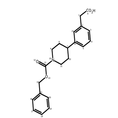 O=C(O)Cc1cccc(C2CCN(C(=O)OCc3ccccc3)CC2)c1